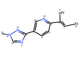 CC/C=C(\CCC)c1ccc(-c2ncn(C)n2)cn1